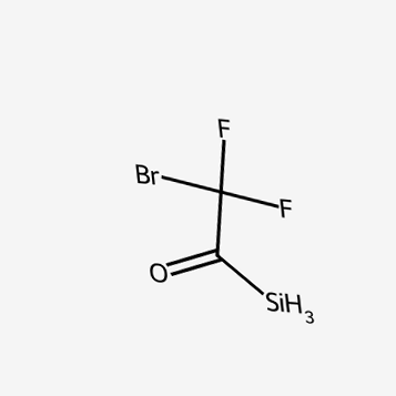 O=C([SiH3])C(F)(F)Br